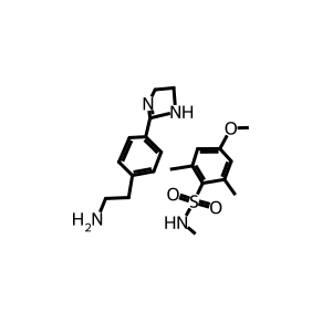 CNS(=O)(=O)c1c(C)cc(OC)cc1C.NCCc1ccc(C2=NCCN2)cc1